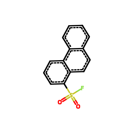 O=S(=O)(F)c1cccc2c1ccc1ccccc12